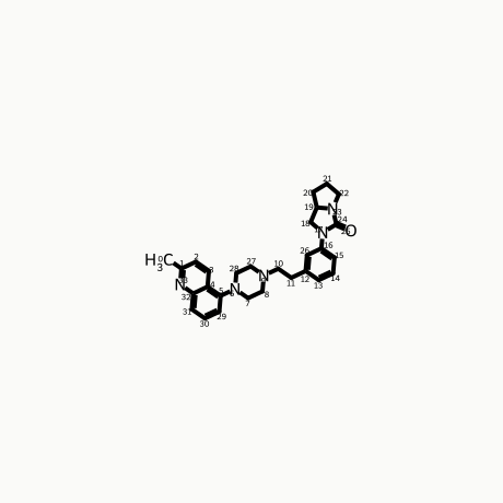 Cc1ccc2c(N3CCN(CCc4cccc(N5CC6CCCN6C5=O)c4)CC3)cccc2n1